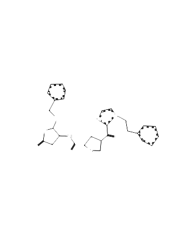 O=C1CC(NC(=O)[C@@H]2CC(C(=O)c3nccn3CCc3ccccc3)CN2)C(OCc2ccccc2)O1